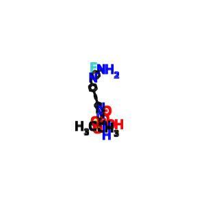 CC(CCN1Cc2cc(C#Cc3ccc(CN4CC[C@H](N)[C@@H](F)C4)cc3)cn2C1=O)(C(=O)NO)S(C)(=O)=O